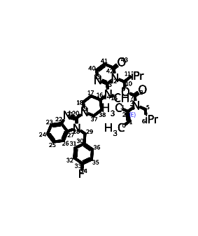 C/C=C(\C)N(CC(C)C)C(=O)OC(C(C)C)n1c(N(C)C2CCN(c3nc4ccccc4n3Cc3ccc(F)cc3)CC2)nccc1=O